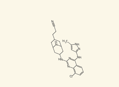 Cc1cc(Nc2nc(NC3CC4CC(CCC#N)CC(C3)N4)nc3c(Cl)cccc23)n[nH]1